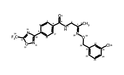 CC(CNC(=O)c1ccc(-c2noc(C(F)(F)F)n2)cc1)=NOCc1cccc(Cl)c1